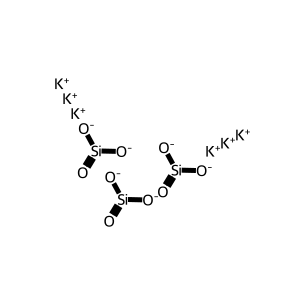 O=[Si]([O-])[O-].O=[Si]([O-])[O-].O=[Si]([O-])[O-].[K+].[K+].[K+].[K+].[K+].[K+]